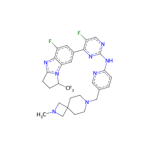 CN1CC2(CCN(Cc3ccc(Nc4ncc(F)c(-c5cc(F)c6nc7n(c6c5)C(C(F)(F)F)CC7)n4)nc3)CC2)C1